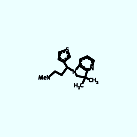 CNCCC(c1ccsc1)N1CC(C)(C)c2ncccc21